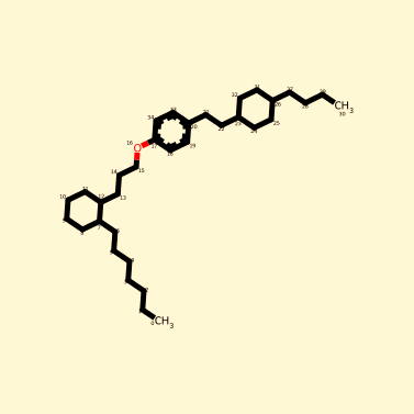 CCCCCCCC1CCCCC1CCCOc1ccc(CCC2CCC(CCCC)CC2)cc1